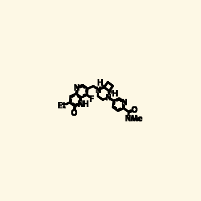 CCc1cc2ncc(CN3CCN(c4ccc(C(=O)NC)nc4)[C@@H]4CC[C@@H]43)c(F)c2[nH]c1=O